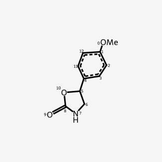 COc1ccc(C2CNC(=O)O2)cc1